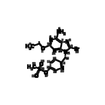 CCOc1nc(N)c2nc(Br)n(Cc3ccc(OS(C)(=O)=O)cn3)c2n1